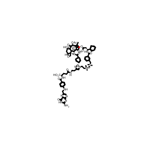 CC(=O)ON[C@@]12[C@@H](OC(=O)c3ccccc3)[C@@]3(O)C[C@@H](OC(=O)C[C@H](NC(=O)c4cccc(C[Si](C)(C)O[Si](C)(C)CCn5cc(CCNC(=O)CC[C@H](NC(=O)c6ccc(NCc7cnc8nc(N)[nH]c(=O)c8n7)cc6)C(=O)O)nn5)c4)c4ccccc4)C(C)=C([C@H](OC(C)=O)C(=O)[C@@]1(C)[C@H](O)C[C@@H]1OC[C@@H]12)C3(C)C